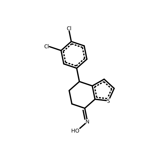 ON=C1CCC(c2ccc(Cl)c(Cl)c2)c2ccsc21